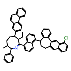 CCC1/C(c2cccc3c(C4CCc5cc6cccc(Cl)c6cc5-c5ccccc54)cccc23)=N\C(c2ccccc2)C(C)CCC1c1ccc2c(ccc3ccccc32)c1